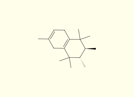 CC1=CCC2=C(C1)C(C)(C)[C@@H](C)[C@H](C)C2(C)C